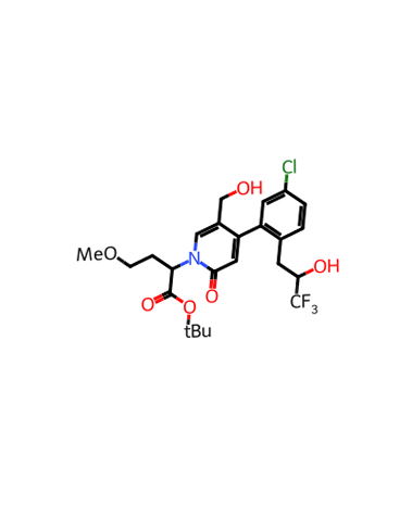 COCCC(C(=O)OC(C)(C)C)n1cc(CO)c(-c2cc(Cl)ccc2CC(O)C(F)(F)F)cc1=O